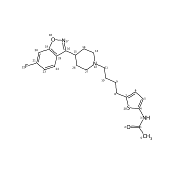 CC(=O)Nc1ccc(CCCCN2CCC(c3noc4cc(F)ccc34)CC2)s1